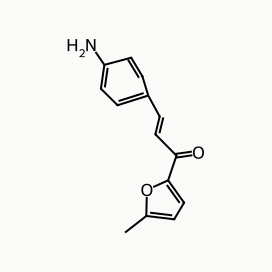 Cc1ccc(C(=O)/C=C/c2ccc(N)cc2)o1